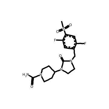 CS(=O)(=O)c1cc(F)c(CN2CCN(C3CCN(C(N)=O)CC3)C2=O)cc1F